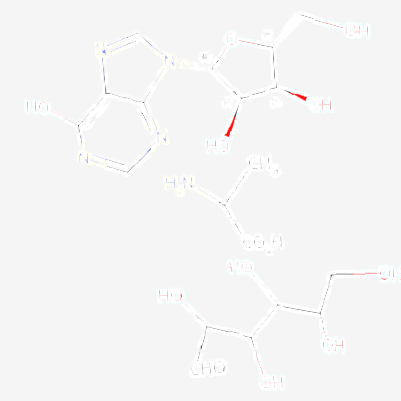 CC(N)C(=O)O.O=CC(O)C(O)C(O)C(O)CO.OC[C@H]1O[C@@H](n2cnc3c(O)ncnc32)[C@H](O)[C@@H]1O